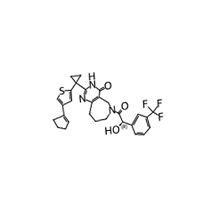 O=C([C@H](O)c1cccc(C(F)(F)F)c1)N1CCCc2nc(C3(c4cc(C5=CCCC5)cs4)CC3)[nH]c(=O)c2C1